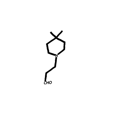 CC1(C)CCN(CCC=O)CC1